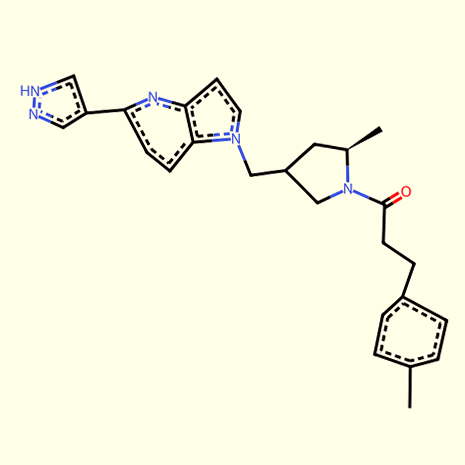 Cc1ccc(CCC(=O)N2CC(Cn3ccc4nc(-c5cn[nH]c5)ccc43)C[C@H]2C)cc1